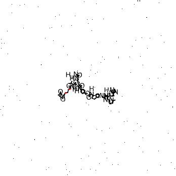 Cc1cccc(-c2nc(CNc3ccc4c(c3)CCC4NC(=O)OCc3ccc(NC(=O)[C@H](CCCNC(N)=O)NC(=O)C(NC(=O)CCCCCN4C(=O)C=CC4=O)C(C)C)cc3)[nH]c2-c2ccc3ncnn3c2)n1